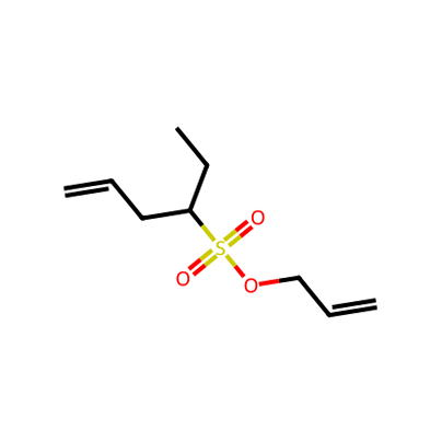 C=CCOS(=O)(=O)C(CC)CC=C